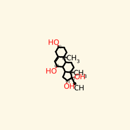 C#C[C@@]1(O)[C@H](O)CC2C3C(CC[C@@]21C)[C@@]1(C)CC[C@H](O)CC1=C[C@@H]3O